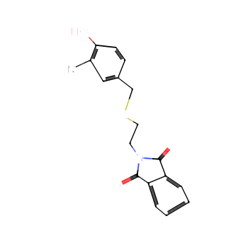 O=C1c2ccccc2C(=O)N1CCSCc1ccc(O)c([N+](=O)[O-])c1